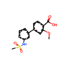 COc1cc(-c2cccc(NS(C)(=O)=O)c2)ccc1C(=O)O